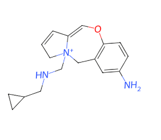 Nc1ccc2c(c1)C[N+]1(CNCC3CC3)CC=CC1=CO2